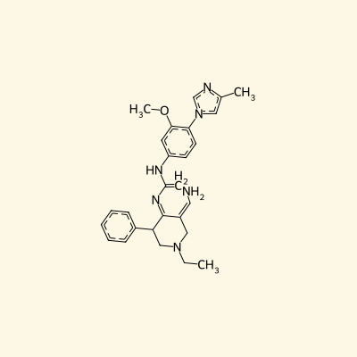 C=C(/N=C1\C(=C/N)CN(CC)CC1c1ccccc1)Nc1ccc(-n2cnc(C)c2)c(OC)c1